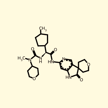 CC1CCC([C@H](NC(=O)N(C)C2CCOCC2)C(=O)Nc2cc3c(cn2)C2(CCOCC2)C(=O)N3)CC1